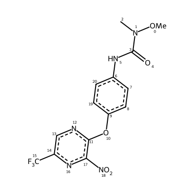 CON(C)C(=O)Nc1ccc(Oc2ncc(C(F)(F)F)nc2[N+](=O)[O-])cc1